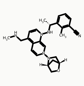 CNCC1=C2C=CN(N3C[C@H]4C[C@@H]3CO4)C=C2N(N[C@H](C)c2cccc(C#N)c2C)C=C1